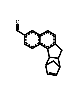 O=Cc1ccc2c3c(ccc2c1)CC1C2C=CC(C2)C31